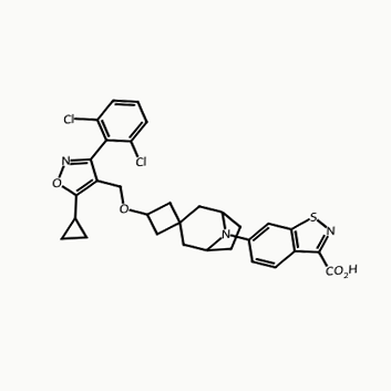 O=C(O)c1nsc2cc(N3C4CCC3CC3(CC(OCc5c(-c6c(Cl)cccc6Cl)noc5C5CC5)C3)C4)ccc12